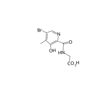 Cc1c(Br)cnc(C(=O)NCC(=O)O)c1O